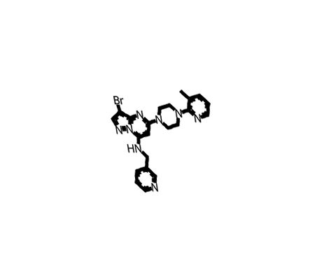 Cc1cccnc1N1CCN(c2cc(NCc3cccnc3)n3ncc(Br)c3n2)CC1